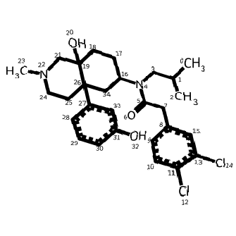 CC(C)CN(C(=O)Cc1ccc(Cl)c(Cl)c1)C1CCC2(O)CN(C)CCC2(c2cccc(O)c2)C1